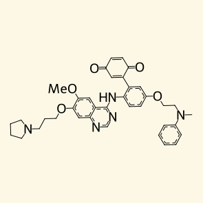 COc1cc2c(Nc3ccc(OCCN(C)c4ccccc4)cc3C3=CC(=O)C=CC3=O)ncnc2cc1OCCCN1CCCC1